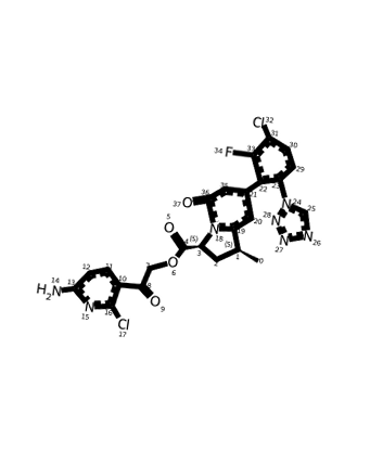 C[C@H]1C[C@@H](C(=O)OCC(=O)c2ccc(N)nc2Cl)n2c1cc(-c1c(-n3cnnn3)ccc(Cl)c1F)cc2=O